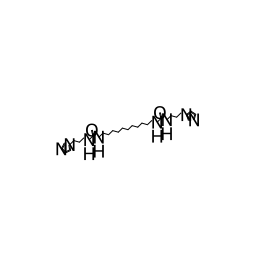 O=C(NCCCCCCCCCCCNC(=O)NCCCn1ccnc1)NCCCn1ccnc1